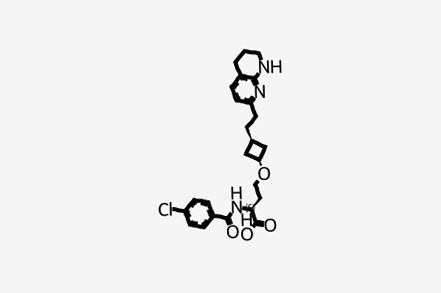 O=C(N[C@@H](CCO[C@H]1C[C@H](CCc2ccc3c(n2)NCCC3)C1)C(=O)O)c1ccc(Cl)cc1